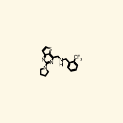 FC(F)(F)c1ccccc1CNCc1nc(N2CCCC2)nc2ccsc12